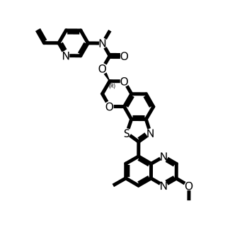 C=Cc1ccc(N(C)C(=O)O[C@@H]2COc3c(ccc4nc(-c5cc(C)cc6nc(OC)cnc56)sc34)O2)cn1